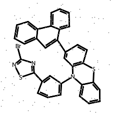 Brc1nsc(-c2cccc(N3c4ccccc4Sc4ccc(-c5cc6ccccc6c6ccccc56)cc43)c2)n1